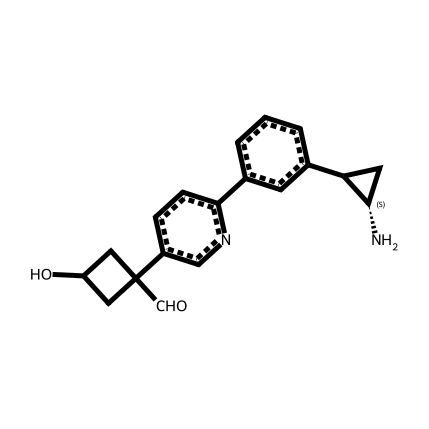 N[C@H]1CC1c1cccc(-c2ccc(C3(C=O)CC(O)C3)cn2)c1